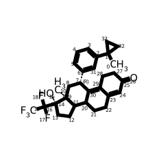 CC1(c2cccc([C@H]3C[C@@]4(C)C(CC[C@@]4(O)C(F)(F)C(F)(F)F)C4CCC5=CC(=O)CCC5=C43)c2)CC1